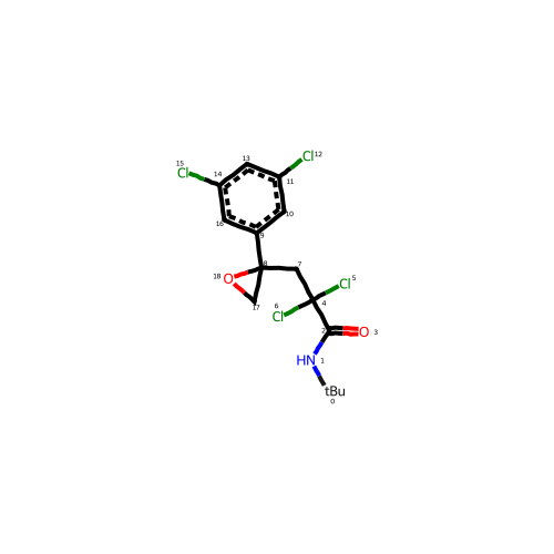 CC(C)(C)NC(=O)C(Cl)(Cl)CC1(c2cc(Cl)cc(Cl)c2)CO1